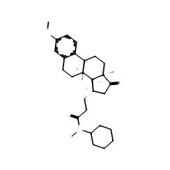 COc1ccc2c(c1)CC[C@H]1[C@@H]3[C@H](CCC(=O)N(C)C4CCCCC4)CC(=O)[C@@]3(C)CC[C@H]21